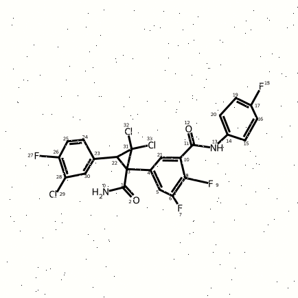 NC(=O)C1(c2cc(F)c(F)c(C(=O)Nc3ccc(F)cc3)c2)C(c2ccc(F)c(Cl)c2)C1(Cl)Cl